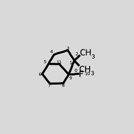 CC1(C)CCC2CCCC1(F)C2